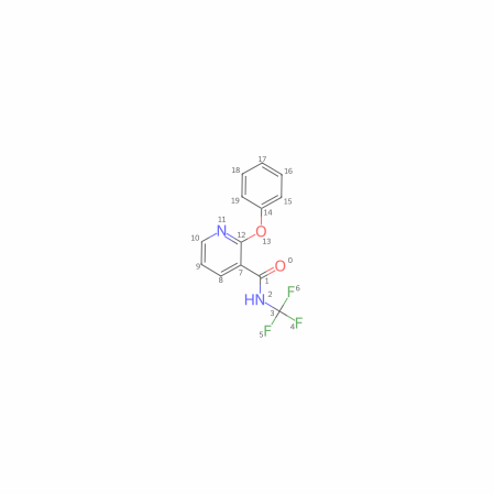 O=C(NC(F)(F)F)c1cccnc1Oc1ccccc1